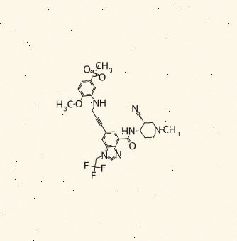 COc1ccc(S(C)(=O)=O)cc1NCC#Cc1cc(C(=O)N[C@H]2CCN(C)C[C@@H]2C#N)c2ncn(CC(F)(F)F)c2c1